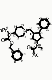 CCCN(C(=O)OCc1ccccc1)C1CCN(CC2CC(N(C)C(=O)C(C)=O)CC2c2ccccc2)CC1